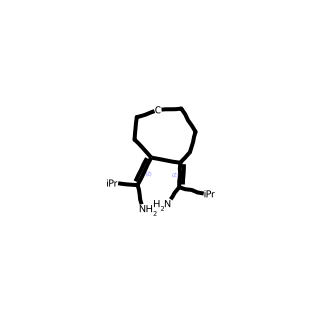 CC(C)/C(N)=C1\CCCCCC\C1=C(\N)C(C)C